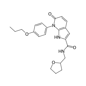 CCCOc1ccc(-n2c(=O)ccc3cc(C(=O)NCC4CCCO4)[nH]c32)cc1